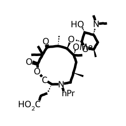 CCCN1C[C@H](C)C[C@@](C)(OC)[C@H](O[C@H]2O[C@H](C)C[C@@H](N(C)C)[C@H]2O)[C@@H](C)C(=O)C(C)(C)C(=O)OC[C@H]1CCC(=O)O